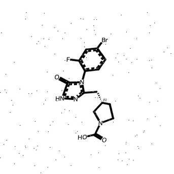 O=C(O)N1CC[C@@H](Cc2n[nH]c(=O)n2-c2ccc(Br)cc2F)C1